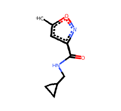 [CH]c1cc(C(=O)NCC2CC2)no1